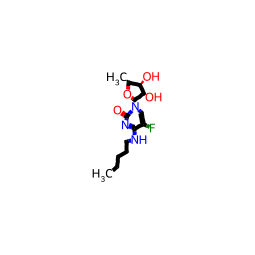 CCCCCNc1nc(=O)n([C@@H]2O[C@H](C)[C@@H](O)[C@H]2O)cc1F